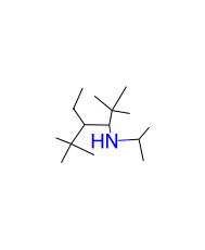 CCC(C(NC(C)C)C(C)(C)C)C(C)(C)C